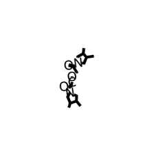 CC1CN(C(=O)COCC(=O)N2CC(C)C(C)C2)CC1C